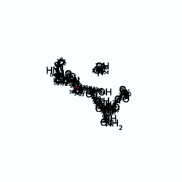 Cc1c(Nc2nc3ccccc3s2)nnc2c1CCCN2c1ccc(-c2cnn(CC34CC5(C)CC(C)(CC(CCCN(CCCO)C(=O)OCc6ccc(NC(=O)[C@H](CCCNC(N)=O)NC(=O)[C@@H](NC(=O)CCOCCN7C(=O)C=CC7=O)C(C)C)cc6)(C5)C3)C4)c2C)c(C(=O)O)n1.O=C(O)C(F)(F)F